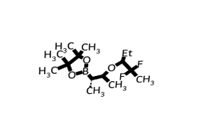 CCC(OC(C)[C@H](C)B1OC(C)(C)C(C)(C)O1)C(C)(F)F